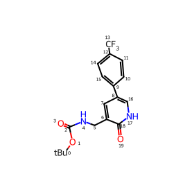 CC(C)(C)OC(=O)NCc1cc(-c2ccc(C(F)(F)F)cc2)c[nH]c1=O